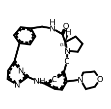 O=C1NCc2ccc(cc2)-c2ccnc(n2)Nc2ccc(N3CCOCC3)c(c2)CN2CCC[C@@H]12